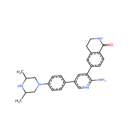 CC1CN(c2ccc(-c3cnc(N)c(-c4ccc5c(c4)CCNC5=O)c3)cc2)CC(C)N1